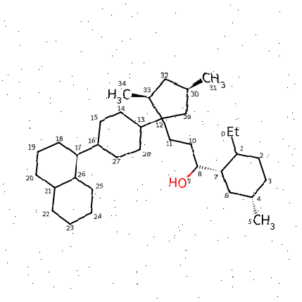 CCC1CC[C@H](C)C[C@@H]1C(O)CCC1(C2CCC(C3CCCC4CCCCC43)CC2)C[C@H](C)C[C@@H]1C